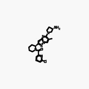 Cc1cn2nc([C@@H]3CCCCN3C(=O)c3cccc(Cl)n3)cc2nc1N1CC[C@H](N)C1